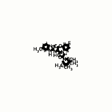 Cc1cccc(NC(=O)NC2C(=O)N(CC(=O)N3CC(C)(C)CC(C)(C)C3)c3ccc(F)cc3OC2C)c1